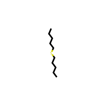 CCCCCSCCCCC